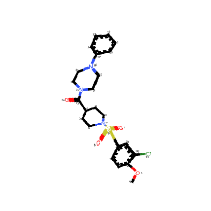 COc1ccc(S(=O)(=O)N2CCC(C(=O)N3CCN(c4ccccc4)CC3)CC2)cc1Cl